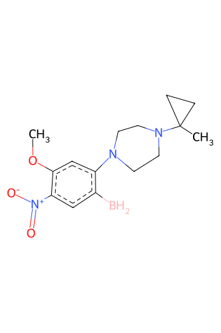 Bc1cc([N+](=O)[O-])c(OC)cc1N1CCN(C2(C)CC2)CC1